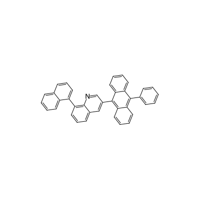 c1ccc(-c2c3ccccc3c(-c3cnc4c(-c5cccc6ccccc56)cccc4c3)c3ccccc23)cc1